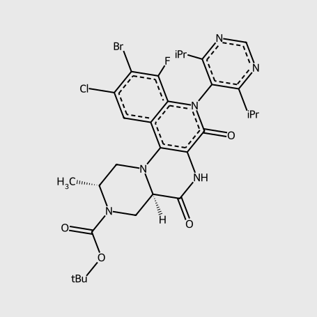 CC(C)c1ncnc(C(C)C)c1-n1c(=O)c2c(c3cc(Cl)c(Br)c(F)c31)N1C[C@@H](C)N(C(=O)OC(C)(C)C)C[C@@H]1C(=O)N2